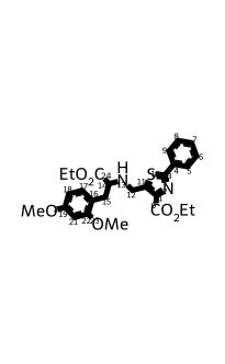 CCOC(=O)c1nc(-c2ccccc2)sc1CNC(Cc1ccc(OC)cc1OC)C(=O)OCC